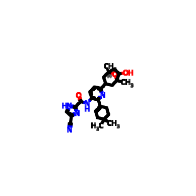 CC1(C)CC=C(c2nc(C3CC4(C)O[C@](C)(C3)CC4O)ccc2NC(=O)c2nc(C#N)c[nH]2)CC1